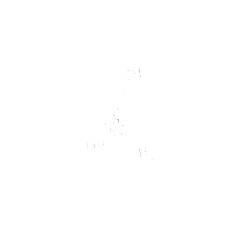 CCCCCCOC(=O)OC(CC)OCCCC